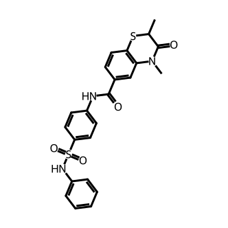 CC1Sc2ccc(C(=O)Nc3ccc(S(=O)(=O)Nc4ccccc4)cc3)cc2N(C)C1=O